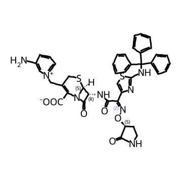 Nc1ccc[n+](CC2=C(C(=O)[O-])N3C(=O)[C@@H](NC(=O)/C(=N\O[C@H]4CCNC4=O)c4csc(NC(c5ccccc5)(c5ccccc5)c5ccccc5)n4)[C@@H]3SC2)c1